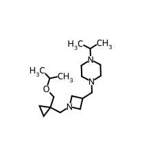 CC(C)OCC1(CN2CC(CN3CCN(C(C)C)CC3)C2)CC1